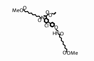 C=CCOC(=O)c1cn(C(=O)CCCCCCCCC(=O)OC)c2cc(Cl)c(-c3ccc(OCCNC(=O)CCCCCCCCC(=O)OC)cc3)cc12